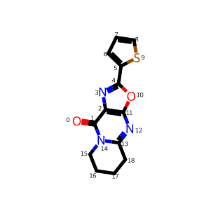 O=c1c2nc(-c3cccs3)oc2nc2n1CCCC2